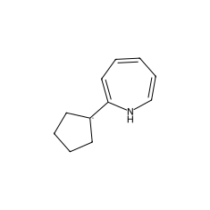 C1=CC=C([C]2CCCC2)NC=C1